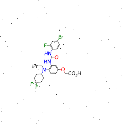 CC(C)CN(c1ccc(OCC(=O)O)cc1NC(=O)Nc1ccc(Br)cc1F)C1CCC(F)(F)CC1